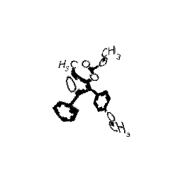 COC(=O)Oc1c(C)oc(-c2ccccc2)c1-c1ccc(OC)cc1